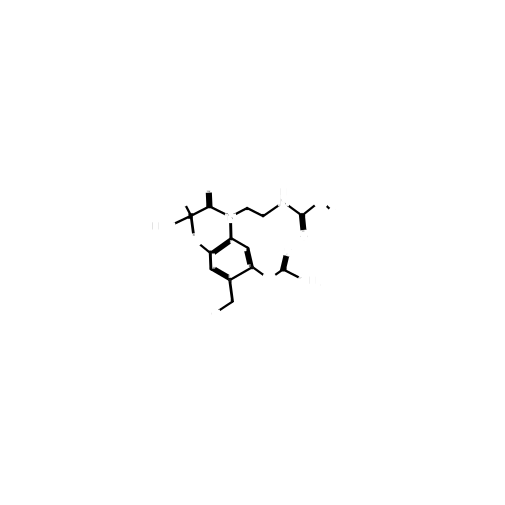 CCc1cc2c(cc1OC(C)=O)N(CCNC(=O)OC)C(=O)C(C)(C)O2